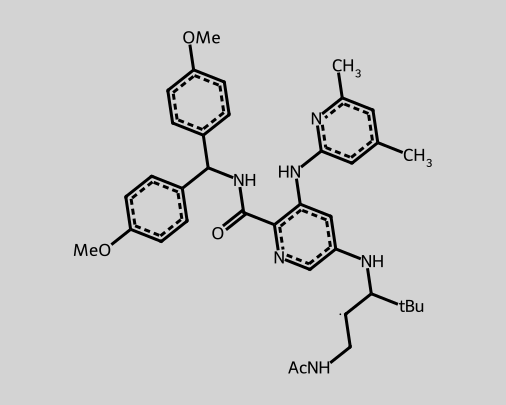 COc1ccc(C(NC(=O)c2ncc(NC([CH]CNC(C)=O)C(C)(C)C)cc2Nc2cc(C)cc(C)n2)c2ccc(OC)cc2)cc1